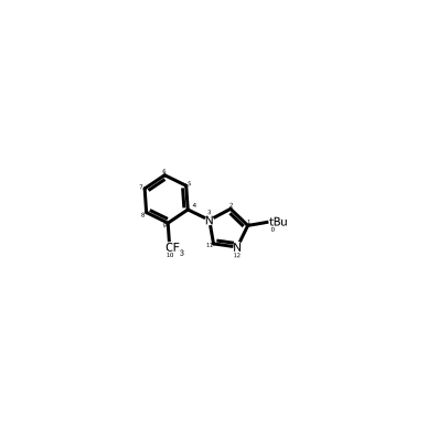 CC(C)(C)c1cn(-c2ccccc2C(F)(F)F)cn1